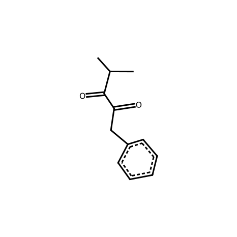 CC(C)C(=O)C(=O)Cc1ccccc1